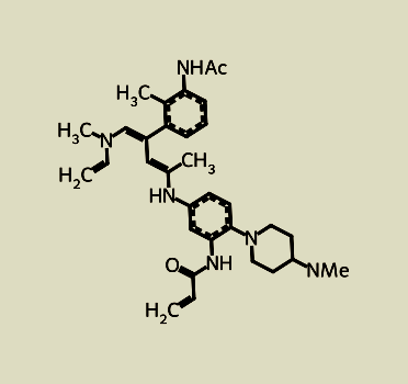 C=CC(=O)Nc1cc(N/C(C)=C/C(=C\N(C)C=C)c2cccc(NC(C)=O)c2C)ccc1N1CCC(NC)CC1